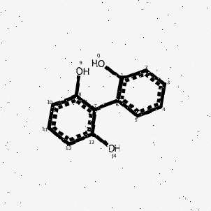 Oc1ccccc1-c1c(O)cccc1O